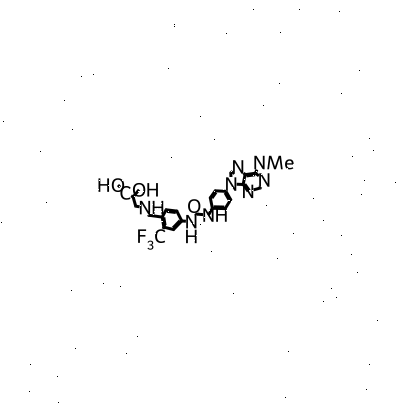 CNc1ncnc2c1ncn2-c1ccc(NC(=O)Nc2ccc(CNCC(O)CO)c(C(F)(F)F)c2)cc1